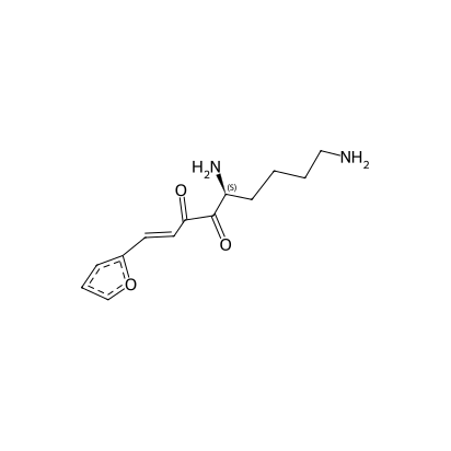 NCCCC[C@H](N)C(=O)C(=O)C=Cc1ccco1